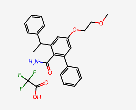 COCCOc1cc(-c2ccccc2)c(C(N)=O)c(C(C)c2ccccc2)c1.O=C(O)C(F)(F)F